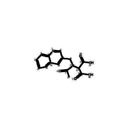 CC(=O)N(Cc1cnc2ccccc2c1)C(C(=O)O)C(=O)O